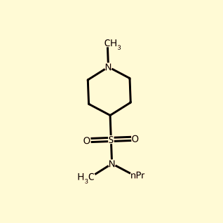 [CH2]CCN(C)S(=O)(=O)C1CCN(C)CC1